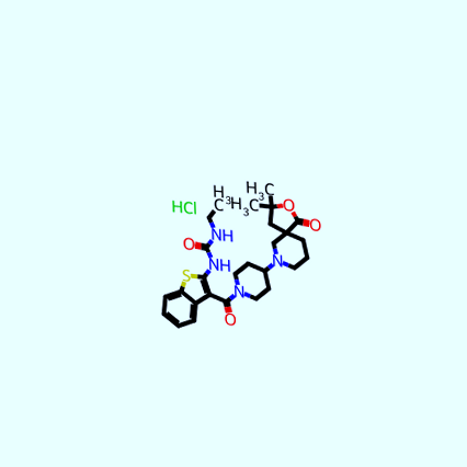 CCNC(=O)Nc1sc2ccccc2c1C(=O)N1CCC(N2CCCC3(C2)CC(C)(C)OC3=O)CC1.Cl